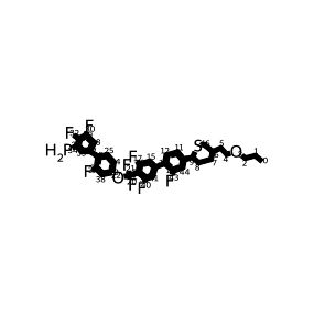 CCCOCCC1CCC(c2ccc(-c3cc(F)c(C(F)(F)Oc4ccc(-c5cc(F)c(F)c(P)c5)c(F)c4)c(F)c3)c(F)c2)SC1